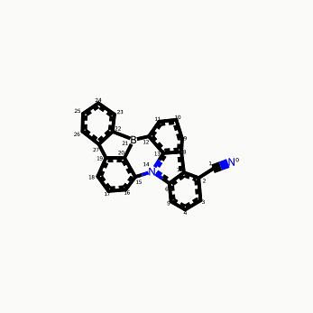 N#Cc1cccc2c1c1cccc3c1n2-c1cccc2c1B3c1ccccc1-2